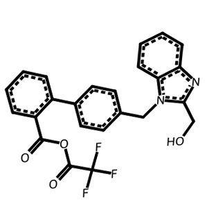 O=C(OC(=O)C(F)(F)F)c1ccccc1-c1ccc(Cn2c(CO)nc3ccccc32)cc1